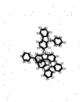 c1ccc(-c2ccc3c4c([Si](c5ccccc5)(c5ccccc5)c5ccccc5)cccc4n(-c4ccc5c6ccccc6n(-c6ccccc6)c5c4)c3c2)cc1